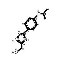 CC(C)Oc1ccc(-c2nc(CO)ns2)cc1